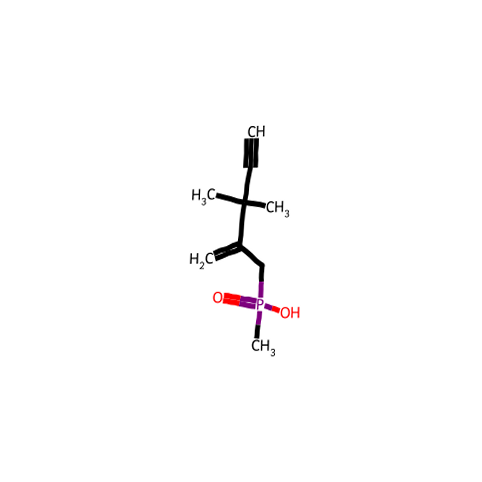 C#CC(C)(C)C(=C)CP(C)(=O)O